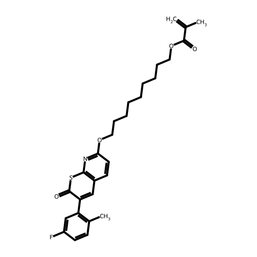 C=C(C)C(=O)OCCCCCCCCCOc1ccc2cc(-c3cc(F)ccc3C)c(=O)sc2n1